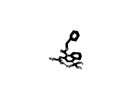 C[SiH](C)OC1C[C@@H](C(C)(C)C)c2ccccc2N1C(=O)OCc1ccccc1